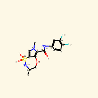 C[C@@H]1COc2c(cn(C)c2C(=O)Nc2ccc(F)c(F)c2)S(=O)(=O)N1